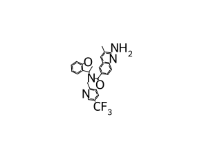 Cc1cc2cc(C(=O)N(Cc3ccc(C(F)(F)F)cn3)C3COc4ccccc43)ccc2nc1N